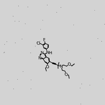 CCOCCN(CCOCC)C(C)(C)C#Cc1cc2c(Nc3ccc(F)c(Cl)c3)ncnc2cc1OCC